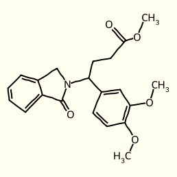 COC(=O)CCC(c1ccc(OC)c(OC)c1)N1Cc2ccccc2C1=O